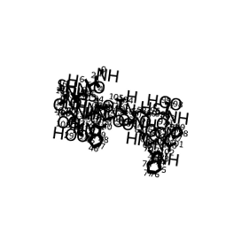 CNCC(=O)C(C)(C)N[C@@H](C)C(=O)N[C@@H](CS)C(=O)N[C@H](C(=O)N[C@@H](CCC(=O)O)C(=O)N[C@@H](CS)C(=O)N[C@@H](Cc1c[nH]c2ccccc12)C(=O)N[C@H](C(=O)N[C@@H](CC(C)=O)C(=O)NCC(=O)N[C@@H](Cc1c[nH]c2ccccc12)C(=O)N[C@H](C(=O)N1CCC[C@H]1C(=O)N[C@@H](CS)C(=O)O)C(C)C)C(C)C)[C@@H](C)O